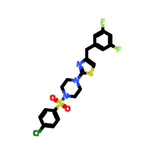 O=S(=O)(c1ccc(Cl)cc1)N1CCN(c2nc(Cc3cc(F)cc(F)c3)cs2)CC1